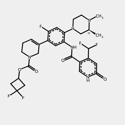 C[C@H]1CN(c2cc(F)c(C3=CCCN(C(=O)OC4CC(F)(F)C4)C3)cc2NC(=O)c2c[nH]c(=O)cc2C(F)F)CCN1C